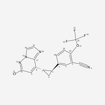 N#Cc1cc([C@H]2C[C@@H]2c2cc(Cl)nn3ccnc23)ccc1OC(F)(F)F